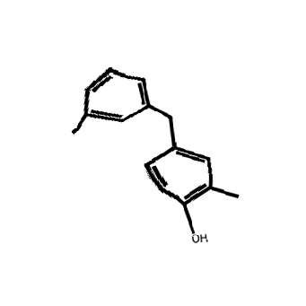 Cc1cccc(Cc2ccc(O)c(C)c2)c1